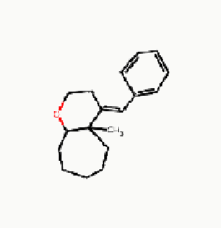 CC12CCCCCC1OCC/C2=C\c1ccccc1